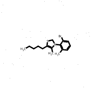 CCCCCC1=C(C)N(c2c(C)cccc2Br)CS1